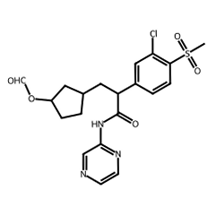 CS(=O)(=O)c1ccc(C(CC2CCC(OC=O)C2)C(=O)Nc2cnccn2)cc1Cl